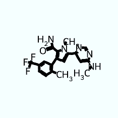 CNc1cc(-c2cc(-c3cc(C(F)(F)F)ccc3C)c(C(N)=O)n2C)ncn1